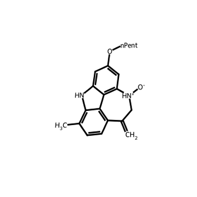 C=C1C[NH+]([O-])c2cc(OCCCCC)cc3[nH]c4c(C)ccc1c4c23